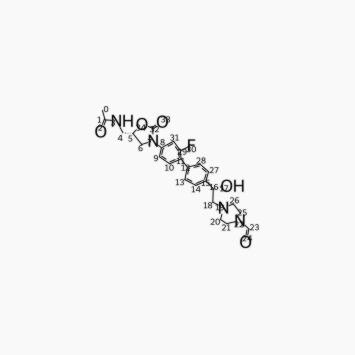 CC(=O)NC[C@H]1CN(c2ccc(-c3ccc([C@H](O)CN4CCN(C=O)CC4)cc3)c(F)c2)C(=O)O1